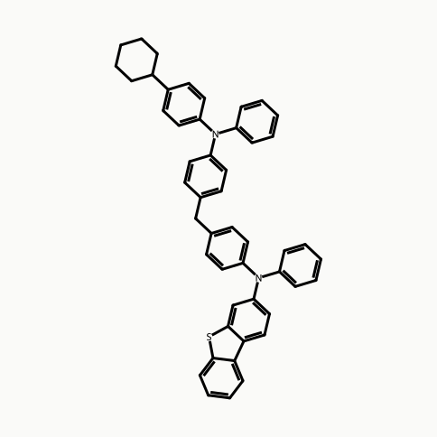 c1ccc(N(c2ccc(Cc3ccc(N(c4ccccc4)c4ccc5c(c4)sc4ccccc45)cc3)cc2)c2ccc(C3CCCCC3)cc2)cc1